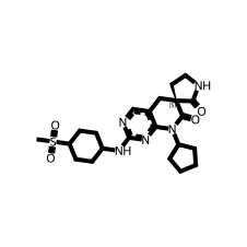 CS(=O)(=O)C1CCC(Nc2ncc3c(n2)N(C2CCCC2)C(=O)[C@]2(CCNC2=O)C3)CC1